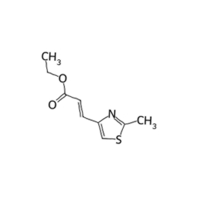 CCOC(=O)C=Cc1csc(C)n1